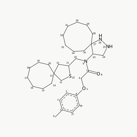 Cc1ccc(OCC(=O)N(CC2CC3(CCCCCCC3)CS2)C2CNNC23CCCCCCCC3)cc1